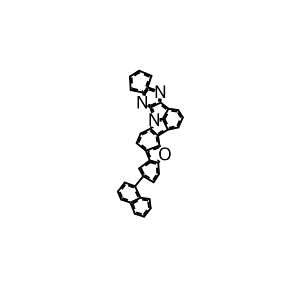 c1ccc2c(-c3ccc4oc5c(ccc6c5c5cccc7c8nc9ccccc9nc8n6c75)c4c3)cccc2c1